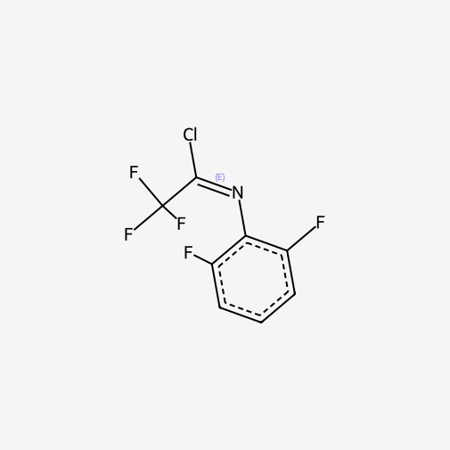 Fc1cccc(F)c1/N=C(/Cl)C(F)(F)F